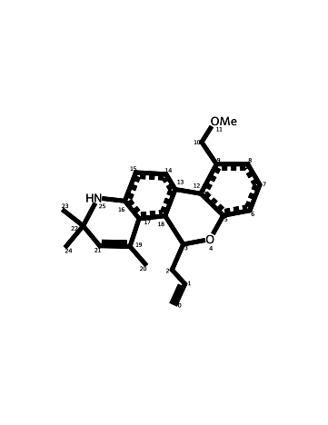 C=CCC1Oc2cccc(COC)c2-c2ccc3c(c21)C(C)=CC(C)(C)N3